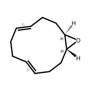 C1=C/CC[C@H]2O[C@@H]2CC/C=C/CC/1